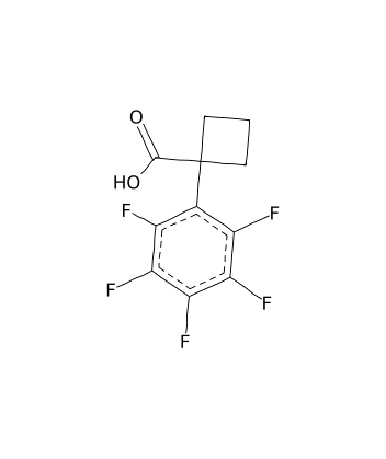 O=C(O)C1(c2c(F)c(F)c(F)c(F)c2F)CCC1